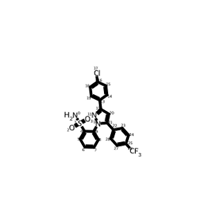 NS(=O)(=O)c1ccccc1-n1nc(-c2ccc(Cl)cc2)cc1-c1ccc(C(F)(F)F)cc1